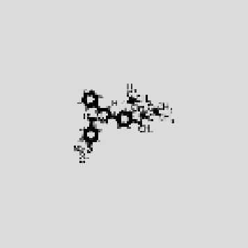 CN(C(=O)OC(C)(C)C)c1ccc(C2=NN(C(=O)c3ccc(O[N+](=O)[O-])cc3)C(c3ccccc3)C2)cc1OC(C)(C)C